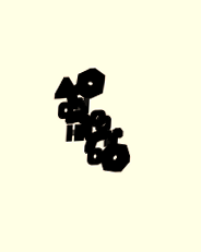 CN1C(=O)C(NC(=O)c2coc(C3(c4ccccc4)CC3)n2)COc2ccccc21